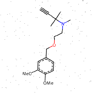 C#CC(C)(C)N(C)CCOCc1ccc(OC)c(OC)c1